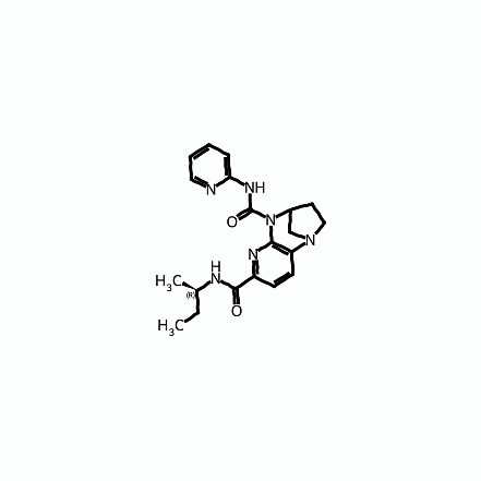 CC[C@@H](C)NC(=O)c1ccc2c(n1)N(C(=O)Nc1ccccn1)C1CCN2C1